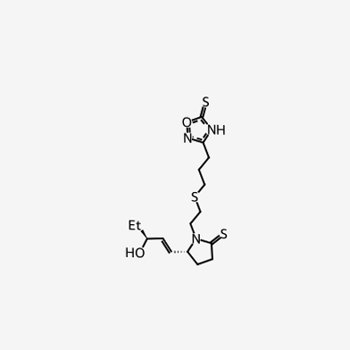 CC[C@H](O)/C=C/[C@H]1CCC(=S)N1CCSCCCc1noc(=S)[nH]1